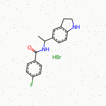 Br.CC(NC(=O)c1ccc(F)cc1)c1ccc2c(c1)CCN2